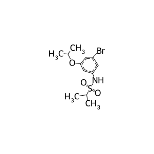 CC(C)Oc1cc(Br)cc(NS(=O)(=O)C(C)C)c1